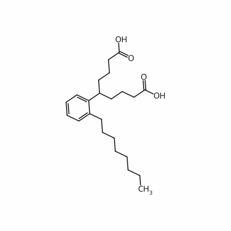 CCCCCCCCc1ccccc1C(CCCC(=O)O)CCCC(=O)O